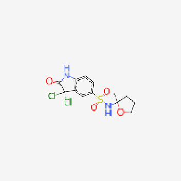 CC1(NS(=O)(=O)c2ccc3c(c2)C(Cl)(Cl)C(=O)N3)CCCO1